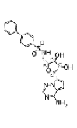 Nc1ncnn2c([C@@H]3O[C@H](CNS(=O)(=O)c4ccc(-c5ccccc5)cc4)[C@@H](O)[C@H]3O)ccc12